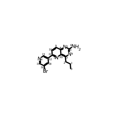 CCCc1nc(N)nc2ccc(-c3cncc(Br)c3)nc12